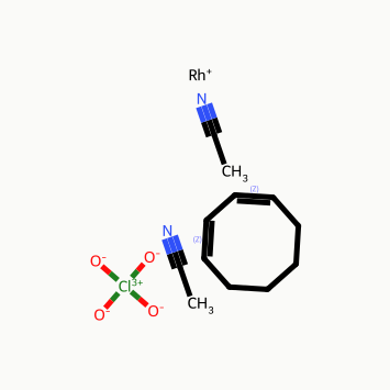 C1=C\CCCC\C=C/1.CC#N.CC#N.[O-][Cl+3]([O-])([O-])[O-].[Rh+]